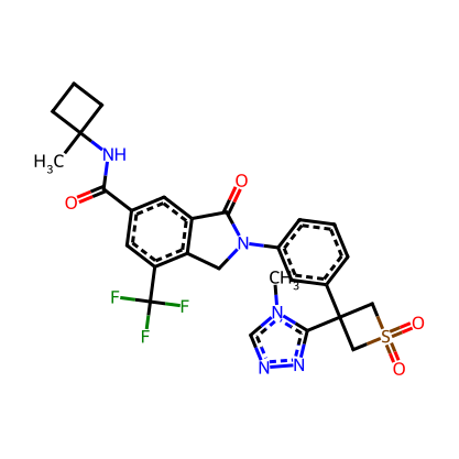 Cn1cnnc1C1(c2cccc(N3Cc4c(cc(C(=O)NC5(C)CCC5)cc4C(F)(F)F)C3=O)c2)CS(=O)(=O)C1